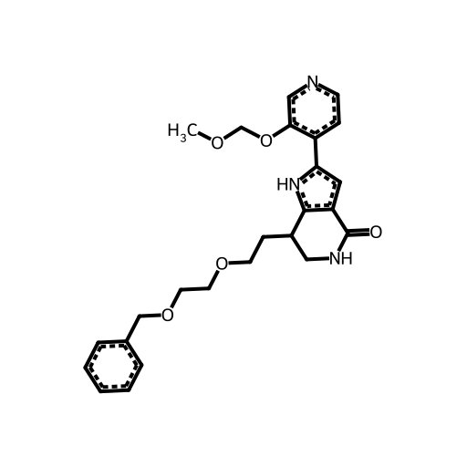 COCOc1cnccc1-c1cc2c([nH]1)C(CCOCCOCc1ccccc1)CNC2=O